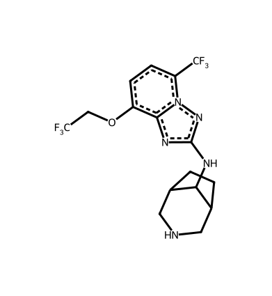 FC(F)(F)COc1ccc(C(F)(F)F)n2nc(NC3C4CCC3CNC4)nc12